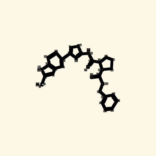 Cc1cc2cc(-c3csc(NC(=O)C4CCCN4C(=O)OCc4ccccc4)n3)ccc2[nH]1